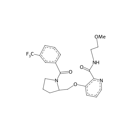 COCCNC(=O)c1ncccc1OCC1CCCN1C(=O)c1cccc(C(F)(F)F)c1